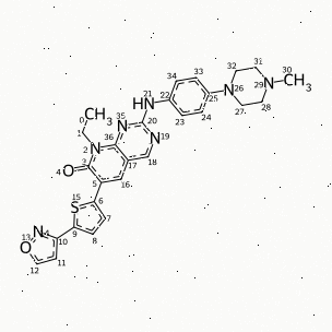 CCn1c(=O)c(-c2ccc(-c3ccon3)s2)cc2cnc(Nc3ccc(N4CCN(C)CC4)cc3)nc21